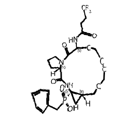 O=C(CCC(F)(F)F)N[C@H]1CCCCCCC[C@@H]2C[C@@]2(P(=O)(O)Cc2ccccc2)NC(=O)[C@@H]2CCCN2C1=O